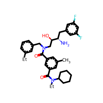 CCc1cccc(CN(C[C@@H](O)[C@@H](N)Cc2cc(F)cc(F)c2)C(=O)c2cc(C)cc(C(=O)N(CC)C3CCCCC3)c2)c1